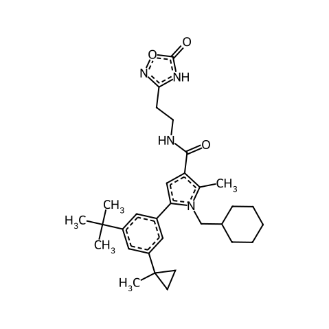 Cc1c(C(=O)NCCc2noc(=O)[nH]2)cc(-c2cc(C(C)(C)C)cc(C3(C)CC3)c2)n1CC1CCCCC1